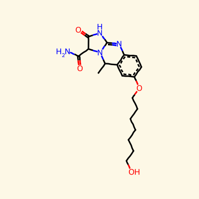 CC1c2cc(OCCCCCCCO)ccc2N=C2NC(=O)C(C(N)=O)N21